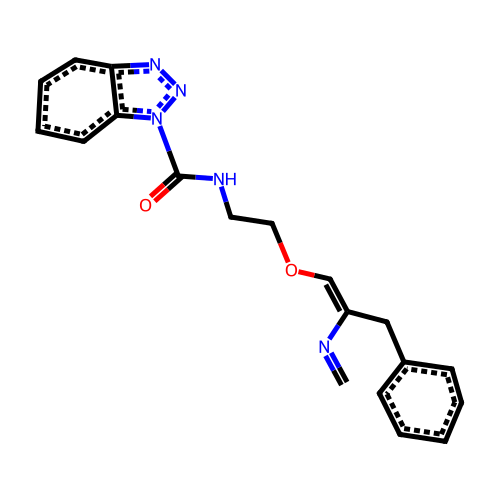 C=N/C(=C\OCCNC(=O)n1nnc2ccccc21)Cc1ccccc1